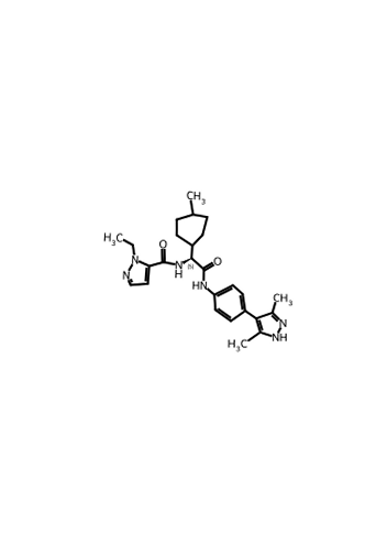 CCn1nccc1C(=O)N[C@H](C(=O)Nc1ccc(-c2c(C)n[nH]c2C)cc1)C1CCC(C)CC1